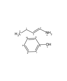 CCC=CN.Oc1ccccc1